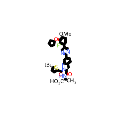 COc1ccc(-c2cnc(-c3ccc(C[C@H](NC(=O)c4ccc(C(C)(C)C)s4)C(=O)N[C@H](C)C(=O)O)cc3)nc2)c(F)c1OC1CCCC1